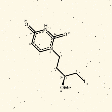 CO[C@H](CI)CCn1ccc(=O)[nH]c1=O